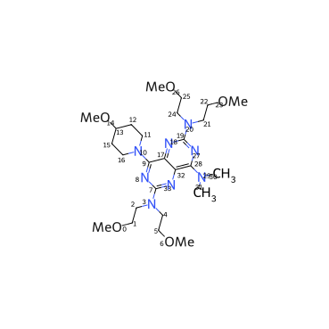 COCCN(CCOC)c1nc(N2CCC(OC)CC2)c2nc(N(CCOC)CCOC)nc(N(C)C)c2n1